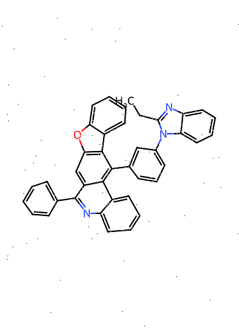 CCc1nc2ccccc2n1-c1cccc(-c2c3c(cc4c(-c5ccccc5)nc5ccccc5c24)oc2ccccc23)c1